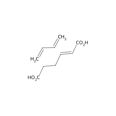 C=CC=C.O=C(O)C=CCCC(=O)O